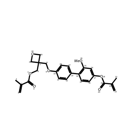 C=C(C)C(=O)OCC1(COc2ccc(-c3ccc(OC(=O)C(=C)C)cc3OC)cc2)COC1